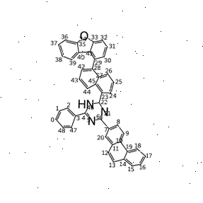 c1ccc(C2=NC(c3ccc4c(ccc5ccccc54)c3)=NC(c3cccc4c(-c5cccc6oc7ccccc7c56)cccc34)N2)cc1